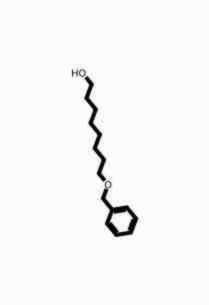 OCCCCCCCCOCc1ccccc1